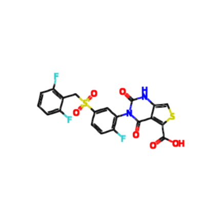 O=C(O)c1scc2[nH]c(=O)n(-c3cc(S(=O)(=O)Cc4c(F)cccc4F)ccc3F)c(=O)c12